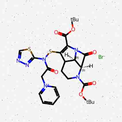 CC(C)(C)OC(=O)C1=C(SN(C(=O)C[n+]2ccccc2)c2nncs2)C2CCN(C(=O)OC(C)(C)C)[C@@H]3C(=O)N1[C@H]23.[Br-]